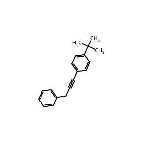 CC(C)(C)c1ccc(C#CCc2ccccc2)cc1